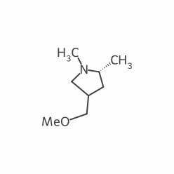 COCC1C[C@@H](C)N(C)C1